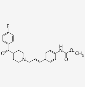 COC(=O)Nc1ccc(/C=C/CN2CCC(C(=O)c3ccc(F)cc3)CC2)cc1